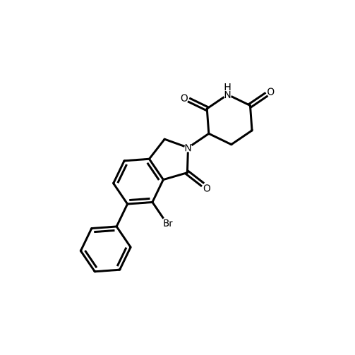 O=C1CCC(N2Cc3ccc(-c4ccccc4)c(Br)c3C2=O)C(=O)N1